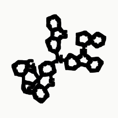 c1ccc2c(c1)Sc1cc(N(c3ccc4c(c3)sc3ccccc34)c3ccc4c5ccccc5n(-c5cccc6ccccc56)c4c3)ccc1C21c2ccccc2-c2cccc3cccc1c23